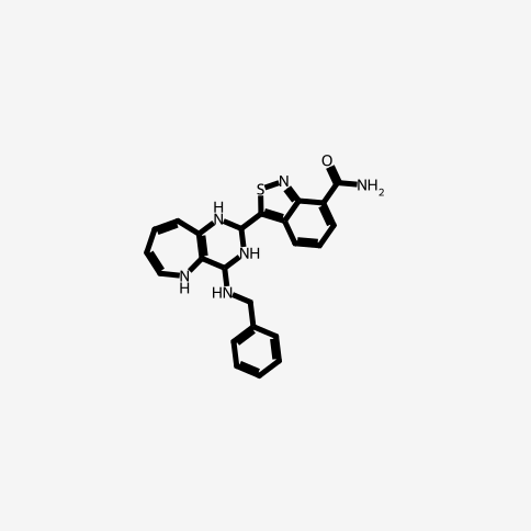 NC(=O)c1cccc2c(C3NC4=C(NC=CC=C4)C(NCc4ccccc4)N3)snc12